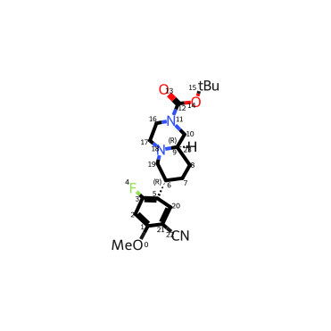 COc1cc(F)c([C@H]2CC[C@@H]3CN(C(=O)OC(C)(C)C)CCN3C2)cc1C#N